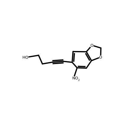 O=[N+]([O-])c1cc2c(cc1C#CCCO)OCO2